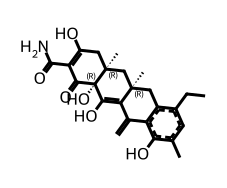 C=C1C2=C(O)[C@@]3(O)C(=O)C(C(N)=O)=C(O)C[C@@]3(C)C[C@@]2(C)Cc2c(CC)cc(C)c(O)c21